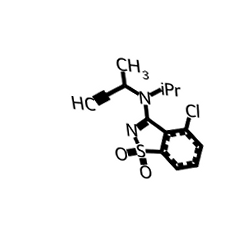 C#CC(C)N(C1=NS(=O)(=O)c2cccc(Cl)c21)C(C)C